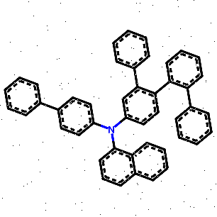 c1ccc(-c2ccc(N(c3ccc(-c4ccccc4-c4ccccc4)c(-c4ccccc4)c3)c3cccc4ccccc34)cc2)cc1